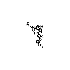 C[S+]([O-])CCCNC(=O)C1=Cc2c(ncnc2Nc2ccc(Oc3cccc(C(F)(F)F)c3)c(Cl)c2)NCC1